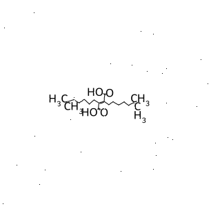 CC(C)CCCCCC(C(=O)O)=C(CCCCCC(C)C)C(=O)O